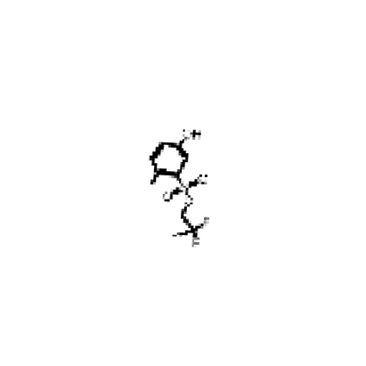 Cc1ccc(O)cc1S(=O)(=O)OCC(F)(F)F